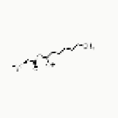 C=CC(=O)OC(O)CCCCCC